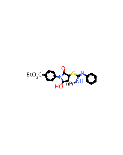 CCCN/C(=N\c1ccccc1)SC1CC(O)N(c2ccc(C(=O)OCC)cc2)C1=O